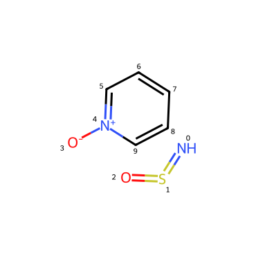 N=S=O.[O-][n+]1ccccc1